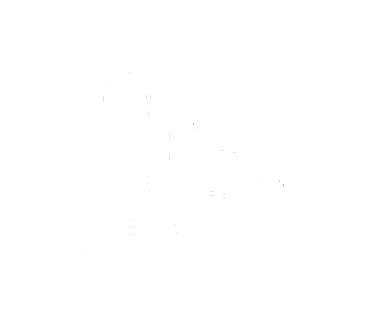 N#Cc1ccc2c(Cc3cccc(C(=O)O)c3)c(-c3ccccc3)[nH]c2c1